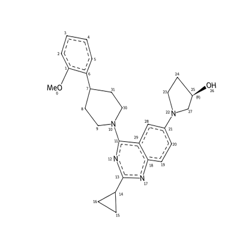 COc1ccccc1C1CCN(c2nc(C3CC3)nc3ccc(N4CC[C@@H](O)C4)cc23)CC1